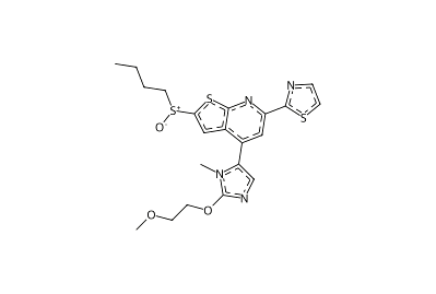 CCCC[S+]([O-])c1cc2c(-c3cnc(OCCOC)n3C)cc(-c3nccs3)nc2s1